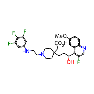 COc1ccc2ncc(F)c([C@@H](O)CCC3(CC(=O)O)CCN(CCNc4cc(F)c(F)c(F)c4)CC3)c2c1